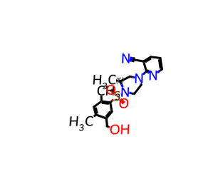 Cc1cc(C)c(S(=O)(=O)N2CCN(c3ncccc3C#N)C[C@@H]2C)cc1CO